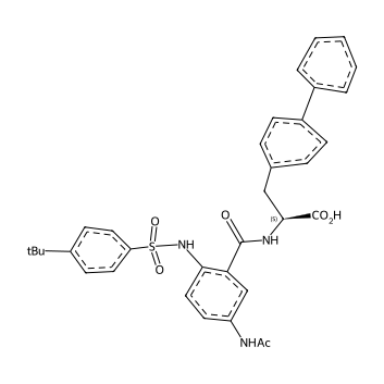 CC(=O)Nc1ccc(NS(=O)(=O)c2ccc(C(C)(C)C)cc2)c(C(=O)N[C@@H](Cc2ccc(-c3ccccc3)cc2)C(=O)O)c1